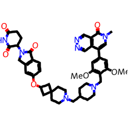 COc1cc(-c2cn(C)c(=O)c3cnncc23)cc(OC)c1CN1CCC(CN2CCC3(CC2)CC(Oc2ccc4c(c2)CN(C2CCC(=O)NC2=O)C4=O)C3)CC1